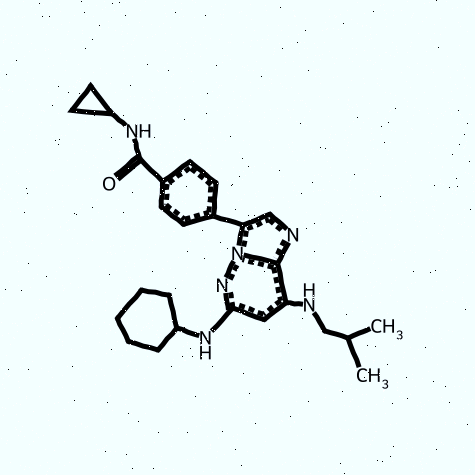 CC(C)CNc1cc(NC2CCCCC2)nn2c(-c3ccc(C(=O)NC4CC4)cc3)cnc12